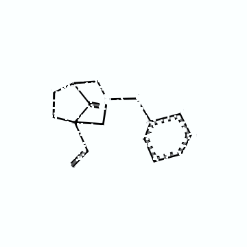 C=CC12CCC(CN(Cc3ccccc3)C1)C2=O